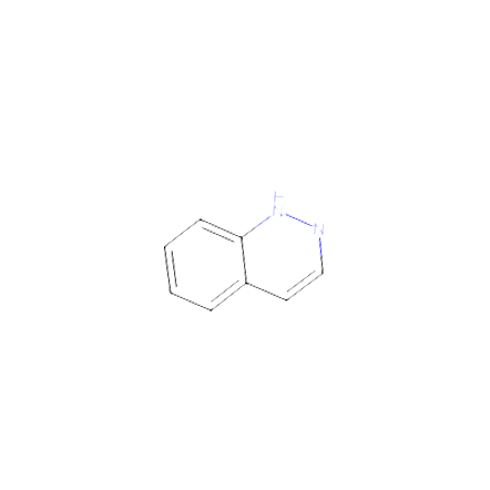 C1=Cc2ccccc2N[N]1